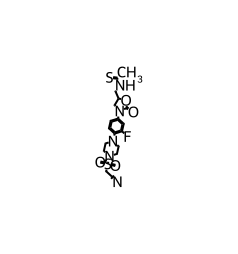 CC(=S)NCC1CN(c2ccc(N3CCN(S(=O)(=O)CC#N)CC3)c(F)c2)C(=O)O1